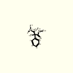 O=C(N(F)F)C(F)(C(=S)N(F)F)c1ccccc1